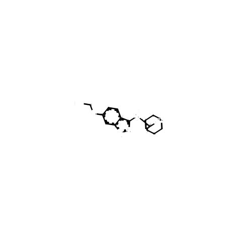 CCOc1ccc2c(NC3CN4CCC3CC4)noc2c1